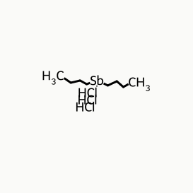 CCC[CH2][Sb][CH2]CCC.Cl.Cl.Cl